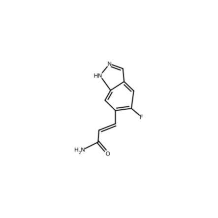 NC(=O)C=Cc1cc2[nH]ncc2cc1F